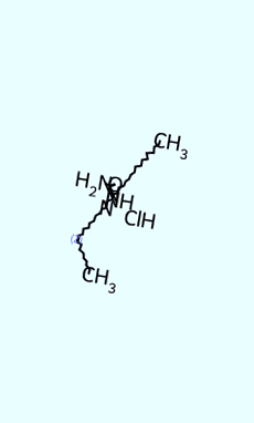 CCCCCCCC/C=C\CCCCCCCCN=CNN(CCCCCCCCCCCCCCCC)CC(N)=O.Cl